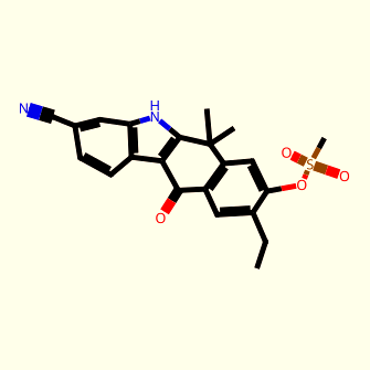 CCc1cc2c(cc1OS(C)(=O)=O)C(C)(C)c1[nH]c3cc(C#N)ccc3c1C2=O